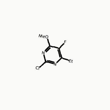 CCc1nc(Cl)nc(OC)c1F